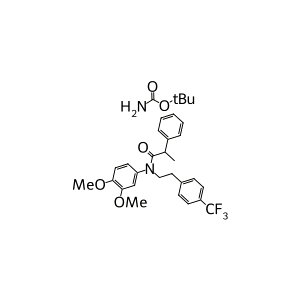 CC(C)(C)OC(N)=O.COc1ccc(N(CCc2ccc(C(F)(F)F)cc2)C(=O)C(C)c2ccccc2)cc1OC